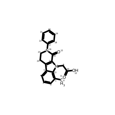 Cc1cccc2c3c(n(CC(=O)O)c12)C(=O)N(c1ccccc1)CC3